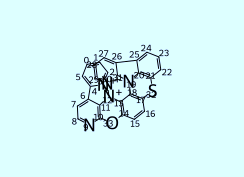 c1cc[n+]2c(c1)-c1ccnc3c1[N+]21c2c(ccc4c2-n2c5c(cccc5c5ccc[n+]1c52)S4)O3